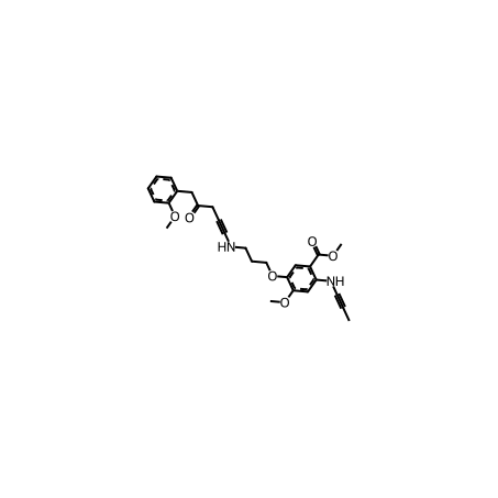 CC#CNc1cc(OC)c(OCCCNC#CCC(=O)Cc2ccccc2OC)cc1C(=O)OC